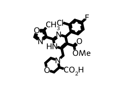 COC(=O)C1=C(CN2CCOCC2C(=O)O)NC(c2ncoc2C)=NC1c1ccc(F)cc1Cl